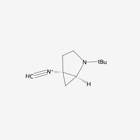 C#[N+][C@]12CCN(C(C)(C)C)[C@H]1C2